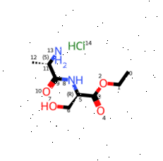 CCOC(=O)[C@@H](CO)NC(=O)[C@H](C)N.Cl